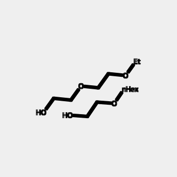 CCCCCCOCCO.CCOCCOCCO